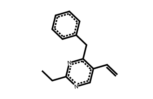 C=Cc1cnc(CC)nc1Cc1ccccc1